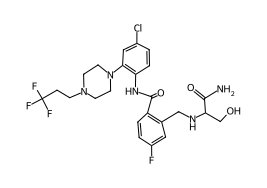 NC(=O)C(CO)NCc1cc(F)ccc1C(=O)Nc1ccc(Cl)cc1N1CCN(CCC(F)(F)F)CC1